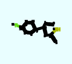 C=C/C(=C\C(=C)S)c1ccc(F)cc1